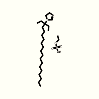 CCCCCCCCCCCCCCCCC(CC)(CC)N1C=NCC1.CCOS(=O)(=O)O